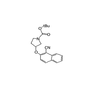 CC(C)(C)OC(=O)N1CCC(Oc2ccc3ccccc3c2C#N)C1